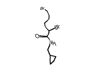 O=C(NCC1CC1)C(Br)CCBr